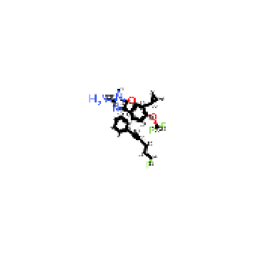 CN1C(=O)[C@@](c2cccc(C#CCCCF)c2)(c2ccc(OC(F)F)c(C3CC3)c2)N=C1N